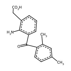 Cc1ccc(C(=O)c2cccc(CC(=O)O)c2N)c(C)c1